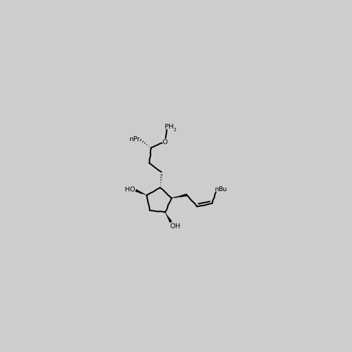 CCCC/C=C\C[C@@H]1[C@@H](CC[C@H](CCC)OP)[C@H](O)C[C@@H]1O